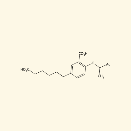 CC(=O)C(C)Oc1ccc(CCCCCC(=O)O)cc1C(=O)O